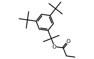 CCC(=O)OC(C)(C)c1cc(C(C)(C)C)cc(C(C)(C)C)c1